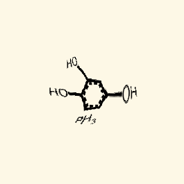 Oc1ccc(O)c(O)c1.P